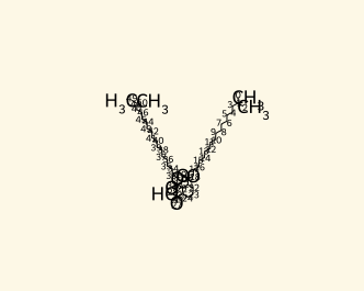 CC(C)CCCCCCCCCCCCCCCOC(=O)C1CCCC(C(=O)O)C1C(=O)OCCCCCCCCCCCCCCCC(C)C